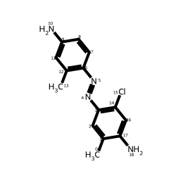 Cc1cc(N=Nc2ccc(N)cc2C)c(Cl)cc1N